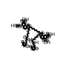 CC1(C)C(/C=C/C=C/C=C/CC2N(CCCCCC(=O)NCCN3C(=O)C=CC3=O)c3ccc4c(SOOO)cc(S(=O)(=O)O)cc4c3C2(C)C)=[N+](CCCCCC(=O)NCCN2C(=O)C=CC2=O)c2ccc3c(S(=O)(=O)O)cc(S(=O)(=O)O)cc3c21